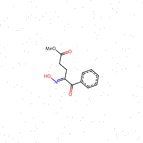 COC(=O)CC/C(=N\O)C(=O)c1ccccc1